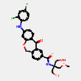 COCC(CO)(CO)NC(=O)c1ccc2c(c1)C(=O)c1ccc(Nc3ccc(F)cc3F)cc1OC2